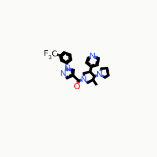 CC1CN(C(=O)c2cnn(-c3cccc(C(F)(F)F)c3)c2)CC(c2ccncc2)C1N1CCCC1